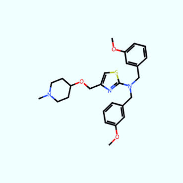 COc1cccc(CN(Cc2cccc(OC)c2)c2nc(COC3CCN(C)CC3)cs2)c1